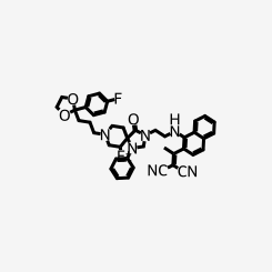 CCC1CN(CCCC2(c3ccc(F)cc3)OCCO2)CCC12C(=O)N(CCNc1c(C(C)=C(C#N)C#N)ccc3ccccc13)CN2c1ccccc1